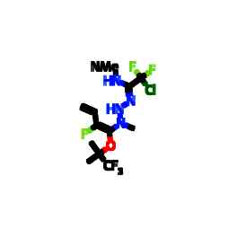 C=C/C(F)=C(/OC(C)(C)C(F)(F)F)N(C)N/N=C(\NNC)C(F)(F)Cl